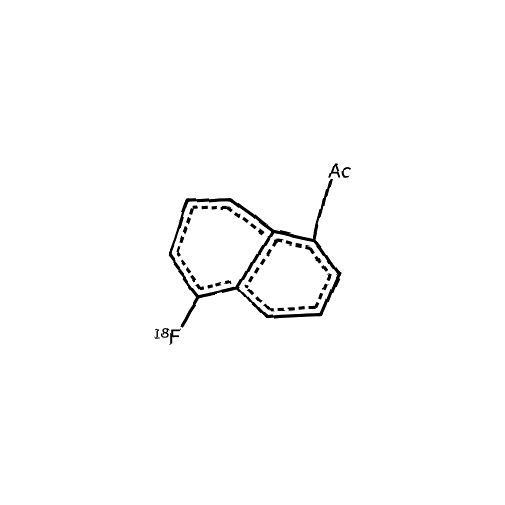 CC(=O)c1cccc2c([18F])cccc12